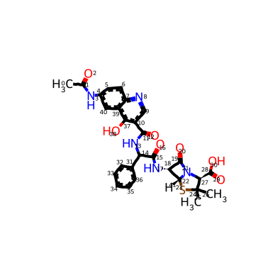 CC(=O)Nc1ccc2ncc(C(=O)NC(C(=O)N[C@@H]3C(=O)N4[C@@H]3SC(C)(C)[C@@H]4C(=O)O)c3ccccc3)c(O)c2c1